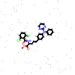 COC(=O)C(CC=Cc1ccc(N(c2ccccc2)c2ncccn2)cc1)NC(=O)c1c(Cl)cccc1Cl